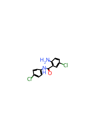 Nc1ccc(Cl)cc1C(=O)Nc1ccc(Cl)cc1